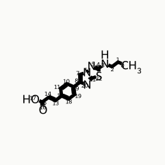 CCCNc1nn2cc(-c3ccc(/C=C/C(=O)O)cc3)nc2s1